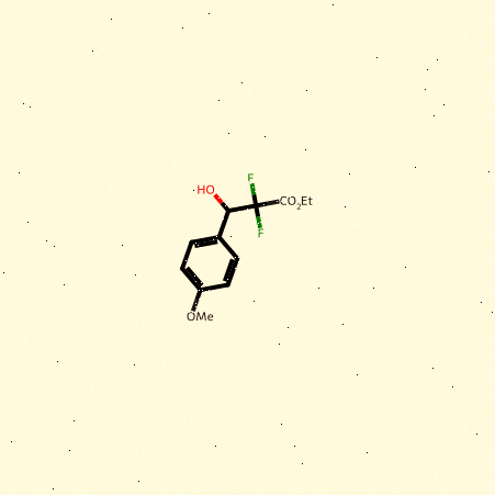 CCOC(=O)C(F)(F)C(O)c1ccc(OC)cc1